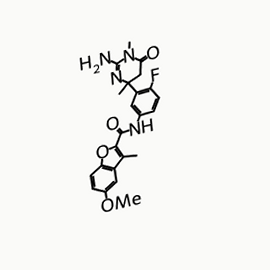 COc1ccc2oc(C(=O)Nc3ccc(F)c(C4(C)CC(=O)N(C)C(N)=N4)c3)c(C)c2c1